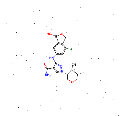 N#CC1CCOC[C@@H]1n1cc(C(N)=O)c(Nc2cc(F)c3c(c2)B(O)OC3)n1